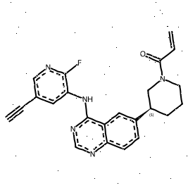 C#Cc1cnc(F)c(Nc2ncnc3ccc([C@@H]4CCCN(C(=O)C=C)C4)cc23)c1